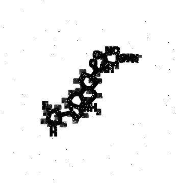 [N-]=[N+]=NCC(NC(=O)C1=CC2CC[C@@]3(N)C4CC=C(C5=CC(F)CNC5)C4CCC3C2C=C1)C(=O)N=O